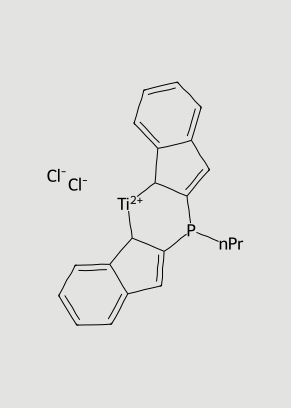 CCCP1C2=Cc3ccccc3[CH]2[Ti+2][CH]2C1=Cc1ccccc12.[Cl-].[Cl-]